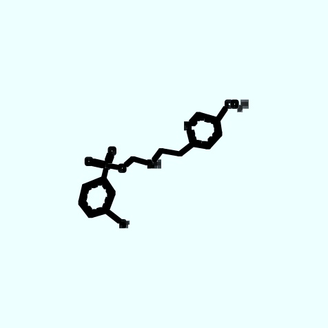 O=C(O)c1ccc(CCNCOS(=O)(=O)c2cccc(Br)c2)nc1